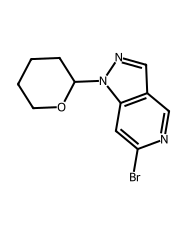 Brc1cc2c(cn1)cnn2C1CCCCO1